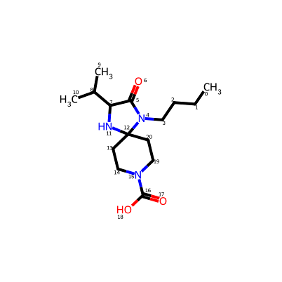 CCCCN1C(=O)C(C(C)C)NC12CCN(C(=O)O)CC2